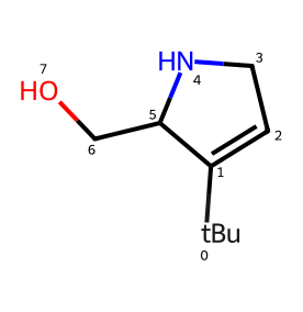 CC(C)(C)C1=CCNC1CO